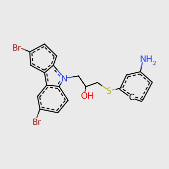 Nc1cccc(SCC(O)Cn2c3ccc(Br)cc3c3cc(Br)ccc32)c1